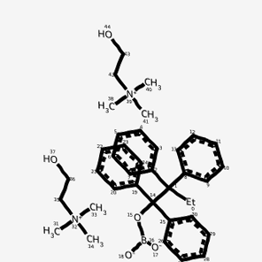 CCC(c1ccccc1)(c1ccccc1)C(OB([O-])[O-])(c1ccccc1)c1ccccc1.C[N+](C)(C)CCO.C[N+](C)(C)CCO